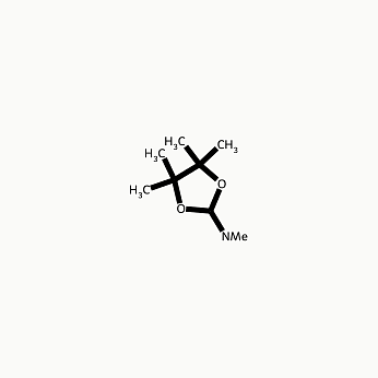 CNC1OC(C)(C)C(C)(C)O1